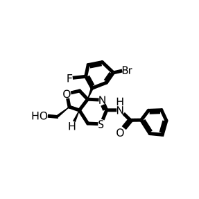 O=C(NC1=N[C@@]2(c3cc(Br)ccc3F)CO[C@H](CO)[C@H]2CS1)c1ccccc1